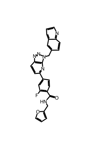 O=C(NCc1ccco1)c1ccc(-c2ccc3nnn(Cc4ccc5ncccc5c4)c3n2)cc1F